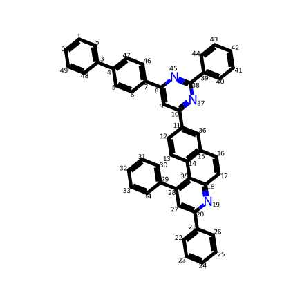 c1ccc(-c2ccc(-c3cc(-c4ccc5c(ccc6nc(-c7ccccc7)cc(-c7ccccc7)c65)c4)nc(-c4ccccc4)n3)cc2)cc1